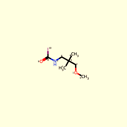 COCC(C)(C)CNC(=O)I